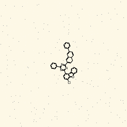 Clc1ccc(-c2nc(C3=CCC4C=CC(c5ccccc5)=CC4=C3)nc(-c3ccccc3)n2)c2c1oc1ccccc12